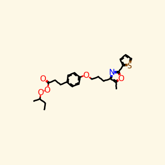 CCC(C)OOC(=O)CCc1ccc(OCCCc2nc(-c3cccs3)oc2C)cc1